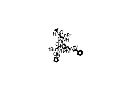 CCC[C@H](NC(=O)[C@@H]1C[C@]2(CC(n3cnc(-c4ccccc4)c3)=NO2)CN1C(=O)[C@@H](NC(=O)OC1CCCC1)C(C)(C)C)C(=O)C(=O)NC1CC1